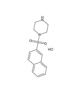 Cl.O=S(=O)(c1ccc2ccccc2c1)N1CCNCC1